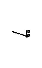 CCCCCCCCCCCCCCCCCc1nc2ccccc2n1CCCN(C)c1ccccc1